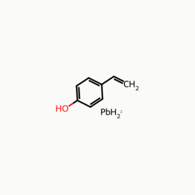 C=Cc1ccc(O)cc1.[PbH2]